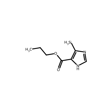 CCCOC(=O)c1[nH]cnc1[SiH3]